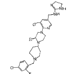 CC[C@H]1CN(c2ncc(CNC3=NCCN3)cc2Cl)CCN1C1CCN(Cc2ccc(Cl)cc2F)CC1